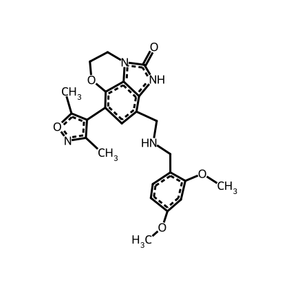 COc1ccc(CNCc2cc(-c3c(C)noc3C)c3c4c2[nH]c(=O)n4CCO3)c(OC)c1